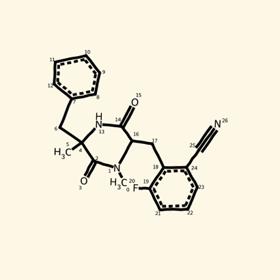 CN1C(=O)C(C)(Cc2ccccc2)NC(=O)C1Cc1c(F)cccc1C#N